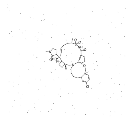 C[C@@H]1[C@@H](C)C/C=C/[C@@](O)([C@H]2CCN(C)C2=O)[C@@H]2CC[C@H]2CN2CCCCC3C=C(Cl)C=CC3(C)COc3ccc(cc32)C(=O)NS1(=O)=O